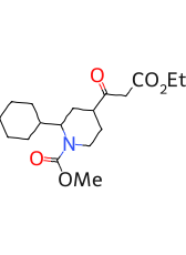 CCOC(=O)CC(=O)C1CCN(C(=O)OC)C(C2CCCCC2)C1